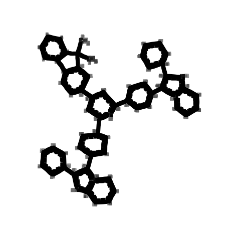 CC1(C)c2ccccc2-c2ccc(-c3cc(-c4ccc(-c5c(-c6ccccc6)nc6ccccn56)cc4)nc(-c4ccc(-c5c(-c6ccccc6)nc6ccccn56)cc4)c3)cc21